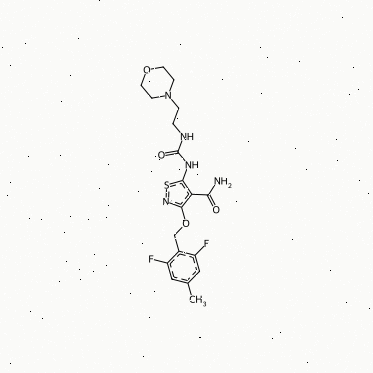 Cc1cc(F)c(COc2nsc(NC(=O)NCCN3CCOCC3)c2C(N)=O)c(F)c1